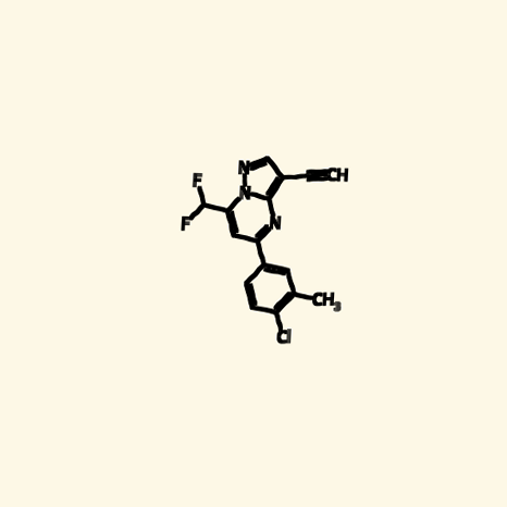 C#Cc1cnn2c(C(F)F)cc(-c3ccc(Cl)c(C)c3)nc12